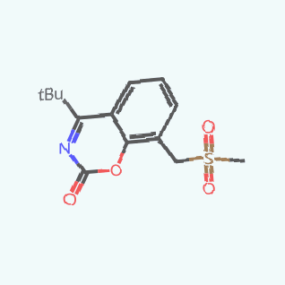 CC(C)(C)c1nc(=O)oc2c(CS(C)(=O)=O)cccc12